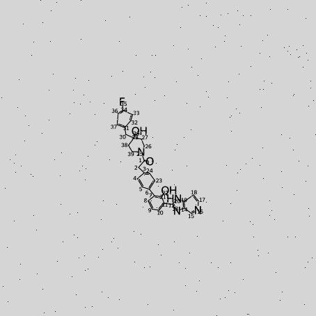 O=C(Cc1ccc(-c2cccc(-c3nc4cnccc4[nH]3)c2O)cc1)N1CCC(O)(Cc2ccc(F)cc2)CC1